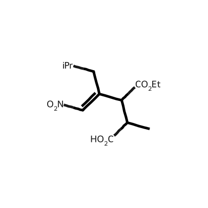 CCOC(=O)C(C(=C[N+](=O)[O-])CC(C)C)C(C)C(=O)O